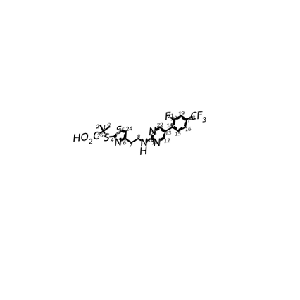 CC(C)(Sc1nc(CCNc2ncc(-c3ccc(C(F)(F)F)cc3F)cn2)cs1)C(=O)O